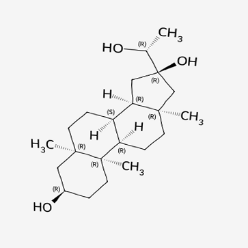 C[C@@H](O)[C@@]1(O)C[C@@H]2[C@@H]3CC[C@]4(C)C[C@H](O)CC[C@]4(C)[C@@H]3CC[C@]2(C)C1